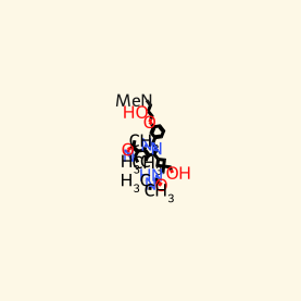 CNCC(O)COc1cccc(-c2nc(-c3c(C)noc3C)c(C)c(C3CC(CO)(CNC(=O)N(C)C)C3)n2)c1